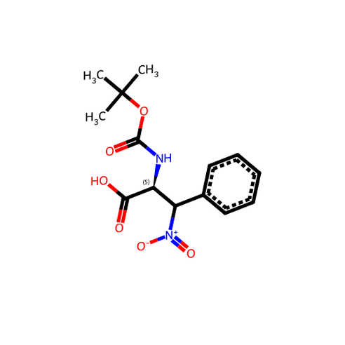 CC(C)(C)OC(=O)N[C@H](C(=O)O)C(c1ccccc1)[N+](=O)[O-]